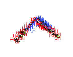 NO.NO.NO.NO.NO.NO.NO.NO.NO.NO.NO.NO.NO.NO.NO.NO.NO.NO.O[Si](O)(O)F.O[Si](O)(O)F.O[Si](O)(O)F.O[Si](O)(O)F.O[Si](O)(O)F.O[Si](O)(O)F